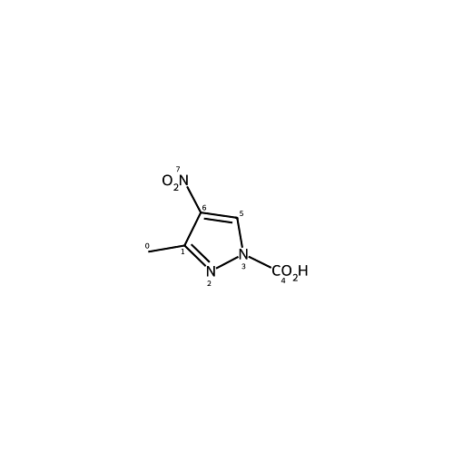 Cc1nn(C(=O)O)cc1[N+](=O)[O-]